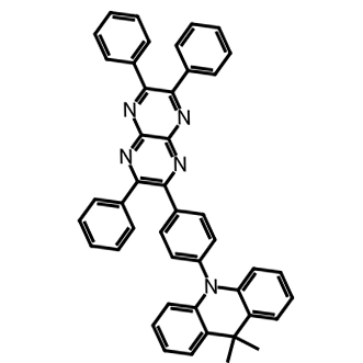 CC1(C)c2ccccc2N(c2ccc(-c3nc4nc(-c5ccccc5)c(-c5ccccc5)nc4nc3-c3ccccc3)cc2)c2ccccc21